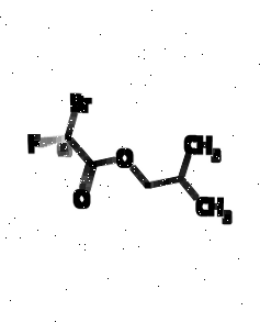 CC(C)COC(=O)[C@H](F)Br